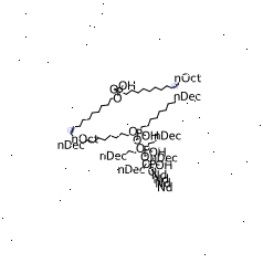 CCCCCCCC/C=C\CCCCCCCCOP(=O)(O)CCCCCCCC/C=C\CCCCCCCC.CCCCCCCCCCCCCCCCCCOP(=O)(O)CCCCCCCCCCCCCCCCCC.CCCCCCCCCCCCOP(=O)(O)CCCCCCCCCCCC.CCCCCCCCCCOP(=O)(O)CCCCCCCCCC.[Nd].[Nd].[Nd].[Nd]